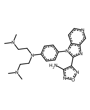 CN(C)CCN(CCN(C)C)c1ccc(-n2c(-c3nonc3N)nc3cnccc32)cc1